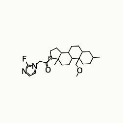 COCC12CCC(C)CC1CCC1C2CCC2(C)C1CC[C@@H]2C(=O)Cn1ccnc1F